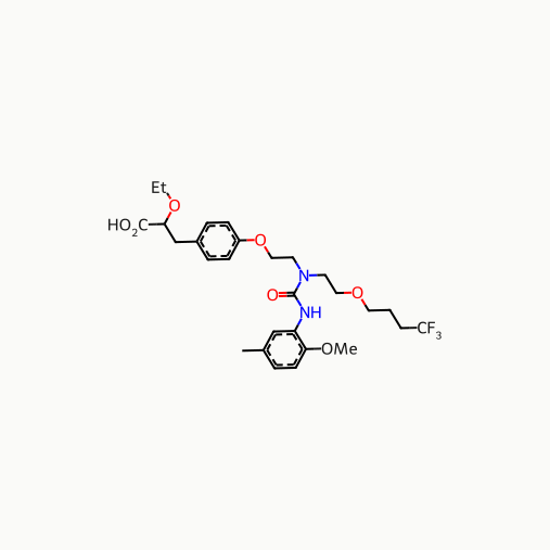 CCOC(Cc1ccc(OCCN(CCOCCCC(F)(F)F)C(=O)Nc2cc(C)ccc2OC)cc1)C(=O)O